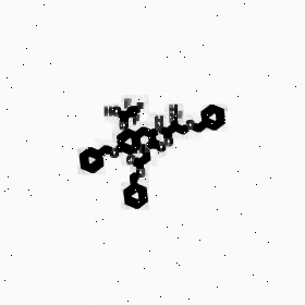 NC(COCc1ccccc1)C(=O)NC(Cc1ccc(OCc2ccccc2)cc1)C(=O)NCC(=O)OCc1ccccc1.O=C(O)C(F)(F)F